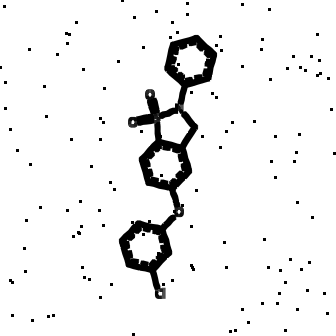 O=S1(=O)c2ccc(Oc3cccc(Cl)c3)cc2CN1c1ccccc1